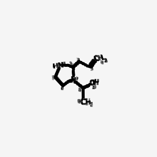 C=CCC1NCCN1C(C)O